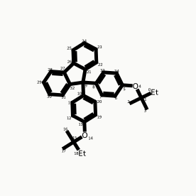 CCC(C)(C)Oc1ccc(C2(c3ccc(OC(C)(C)CC)cc3)c3ccccc3-c3ccccc32)cc1